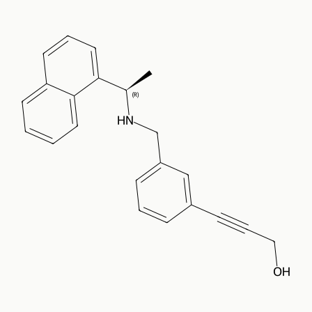 C[C@@H](NCc1cccc(C#CCO)c1)c1cccc2ccccc12